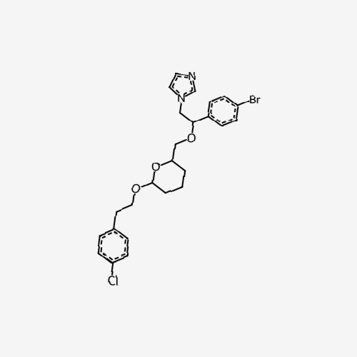 Clc1ccc(CCOC2CCCC(COC(Cn3ccnc3)c3ccc(Br)cc3)O2)cc1